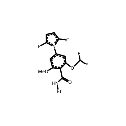 CCNC(=O)c1c(OC)cc(-n2c(F)ccc2F)cc1OC(F)F